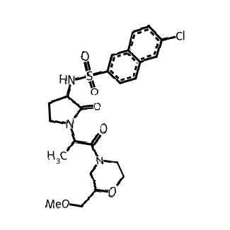 COCC1CN(C(=O)C(C)N2CCC(NS(=O)(=O)c3ccc4cc(Cl)ccc4c3)C2=O)CCO1